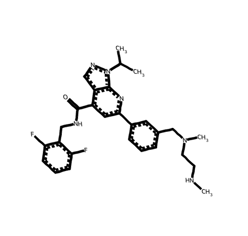 CNCCN(C)Cc1cccc(-c2cc(C(=O)NCc3c(F)cccc3F)c3cnn(C(C)C)c3n2)c1